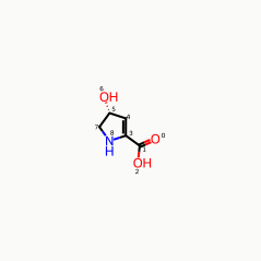 O=C(O)C1=C[C@@H](O)CN1